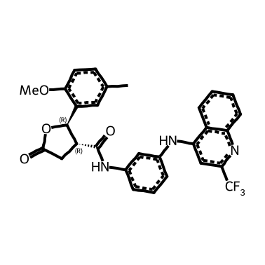 COc1ccc(C)cc1[C@@H]1OC(=O)C[C@H]1C(=O)Nc1cccc(Nc2cc(C(F)(F)F)nc3ccccc23)c1